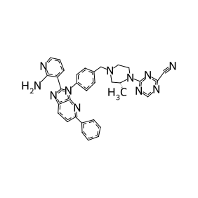 C[C@@H]1CN(Cc2ccc(-n3c(-c4cccnc4N)nc4ccc(-c5ccccc5)nc43)cc2)CCN1c1ncnc(C#N)n1